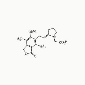 COc1c(C)c2c(c(N)c1CC=C1CCC[C@H]1CC(=O)O)C(=O)OC2